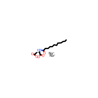 CCCCCCCCCCCC(=O)N[C@@H](CC(=O)[O-])C(=O)[O-].[Na+].[Na+]